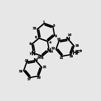 F.c1ccc2ncncc2c1.c1ccncc1.c1ccncc1